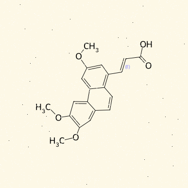 COc1cc(/C=C/C(=O)O)c2ccc3cc(OC)c(OC)cc3c2c1